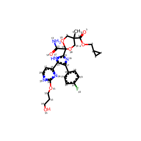 CC1(C(=O)OCC2CC2)COC(C(N)=O)(c2nc(-c3ccc(F)cc3)c(-c3ccnc(OCCCO)n3)[nH]2)OC1